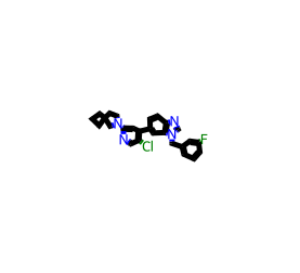 Fc1cccc(Cn2cnc3ccc(-c4cc(N5CCC6(CCC6)C5)ncc4Cl)cc32)c1